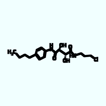 CCCCc1ccc(NC(=O)[C@H](O)[C@@H](O)C(=O)NCCCCl)cc1